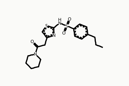 CCCc1ccc(S(=O)(=O)Nc2nc(CC(=O)N3CCCCC3)cs2)cc1